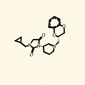 O=C1CN(CC2CC2)C(=O)N1[C@H]1CCCN(C[C@H]2COc3ccccc3O2)C1